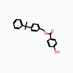 CC(C)(c1ccccc1)c1ccc(COC(=O)c2ccc(O)cc2)cc1